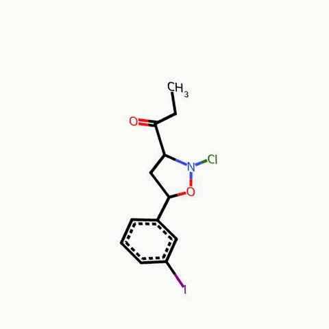 CCC(=O)C1CC(c2cccc(I)c2)ON1Cl